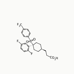 O=C(O)CC[C@H]1CC[C@@](c2cc(F)ccc2F)(S(=O)(=O)c2ccc(C(F)(F)F)cc2)CC1